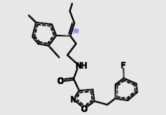 CC/C=C(/CCNC(=O)c1cc(Cc2cccc(F)c2)on1)c1cc(C)ccc1C